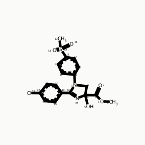 COC(=O)C1(O)CN(c2ccc(S(C)(=O)=O)cc2)C(c2ccc(Cl)cc2)=N1